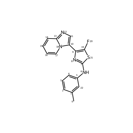 Cc1cccc(Nc2nc(-c3cnc4ccccn34)c(F)s2)c1